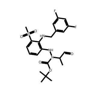 CC(C=O)N(Nc1cccc(S(C)(=O)=O)c1NCc1cc(F)cc(F)c1)C(=O)OC(C)(C)C